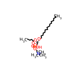 CCCCCCCCCCCCCCCCOC[C@H](COP(=O)(O)OCC[N+](C)(C)C)OC(=O)CCCC